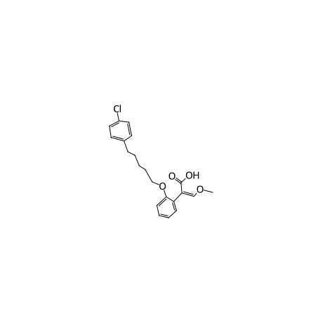 COC=C(C(=O)O)c1ccccc1OCCCCCc1ccc(Cl)cc1